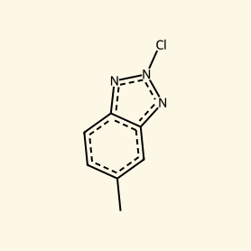 Cc1ccc2nn(Cl)nc2c1